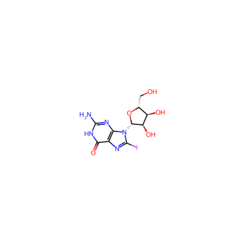 Nc1nc2c(nc(I)n2[C@@H]2O[C@H](CO)[C@@H](O)[C@H]2O)c(=O)[nH]1